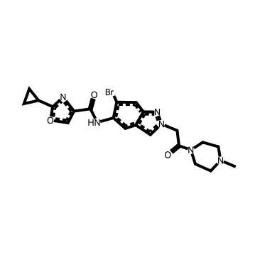 CN1CCN(C(=O)Cn2cc3cc(NC(=O)c4coc(C5CC5)n4)c(Br)cc3n2)CC1